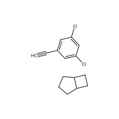 C#Cc1cc(Cl)cc(Cl)c1.C1CC2CCC2C1